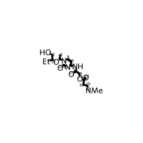 CCC(CO)OC(C)n1ccc(NC(=O)COC(=O)CCNC)nc1=O